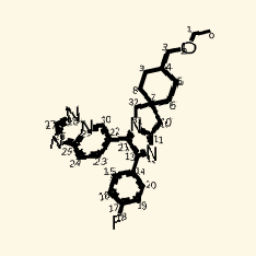 CCOCC1CCC2(CC1)Cc1nc(-c3ccc(F)cc3)c(-c3ccc4ncnn4c3)n1C2